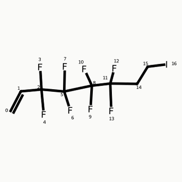 C=CC(F)(F)C(F)(F)C(F)(F)C(F)(F)CCI